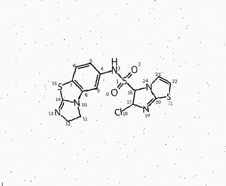 O=S(=O)(Nc1ccc2c(c1)N1CCN=C1S2)C1C(Cl)N=C2SC=CN21